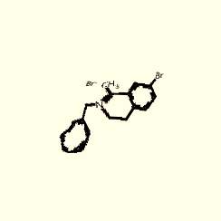 CC1=[N+](Cc2ccccc2)CCc2ccc(Br)cc21.[Br-]